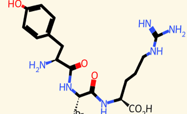 CC(C)[C@H](NC(=O)[C@@H](N)Cc1ccc(O)cc1)C(=O)N[C@@H](CCCNC(=N)N)C(=O)O